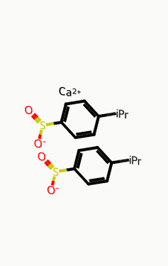 CC(C)c1ccc(S(=O)[O-])cc1.CC(C)c1ccc(S(=O)[O-])cc1.[Ca+2]